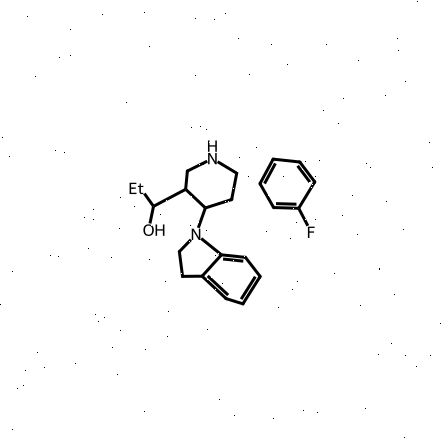 CCC(O)C1CNCCC1N1CCc2ccccc21.Fc1ccccc1